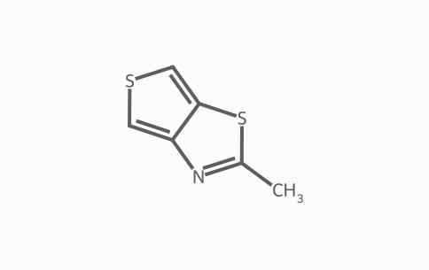 Cc1nc2cscc2s1